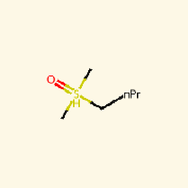 CCCC[SH](C)(C)=O